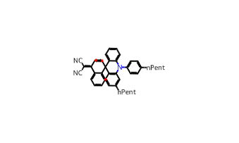 CCCCCc1ccc(N2c3ccccc3C3(c4ccccc4C(=C(C#N)C#N)c4ccccc43)c3ccc(CCCCC)cc32)cc1